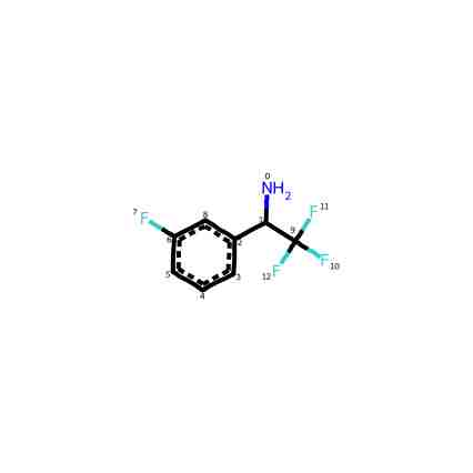 NC(c1cccc(F)c1)C(F)(F)F